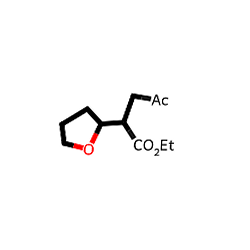 CCOC(=O)C(CC(C)=O)C1CCCO1